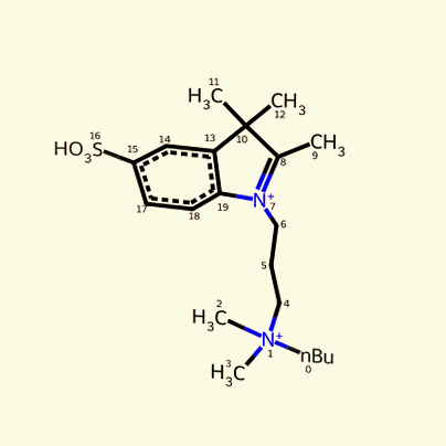 CCCC[N+](C)(C)CCC[N+]1=C(C)C(C)(C)c2cc(S(=O)(=O)O)ccc21